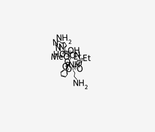 CCC(CC)COC(=O)[C@H](CCCCN)NP(=O)(OCC(C#N)(OC)[C@@H](O)[C@@H](O)c1ccc2c(N)ncnn12)Oc1ccccc1